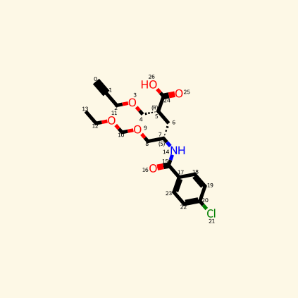 C#CCOC[C@@H](C[C@@H](COCOCC)NC(=O)c1ccc(Cl)cc1)C(=O)O